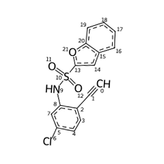 C#Cc1ccc(Cl)cc1NS(=O)(=O)c1cc2ccccc2o1